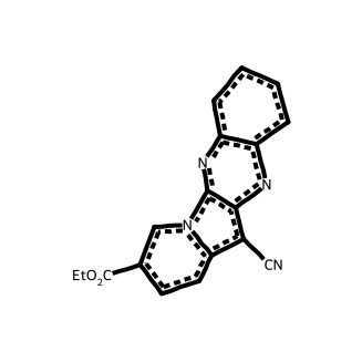 CCOC(=O)c1ccc2c(C#N)c3nc4ccccc4nc3n2c1